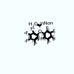 C=CCCCCCCCCC.Fc1c(F)c(F)c(Oc2c(F)c(F)c(F)c(F)c2F)c(F)c1F